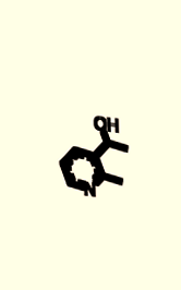 Cc1ncccc1C(C)O